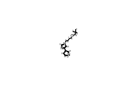 CC(C)(C)COCCCCn1cnc(-c2cccnc2)c1